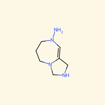 NN1C=C2CNCN2CCC1